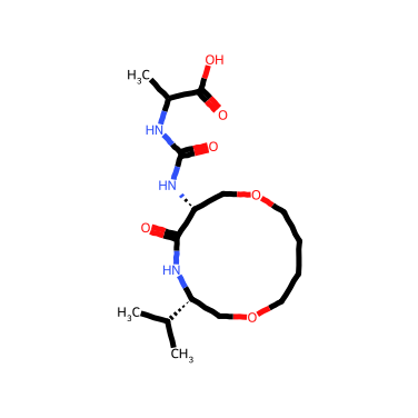 CC(NC(=O)N[C@@H]1COCCCCOC[C@H](C(C)C)NC1=O)C(=O)O